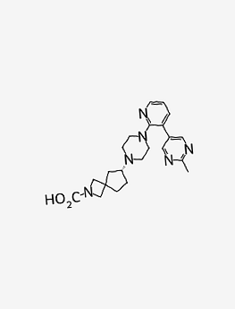 Cc1ncc(-c2cccnc2N2CCN([C@@H]3CCC4(C3)CN(C(=O)O)C4)CC2)cn1